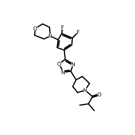 CC(C)C(=O)N1CCC(c2noc(-c3cc(F)c(F)c(N4CCOCC4)c3)n2)CC1